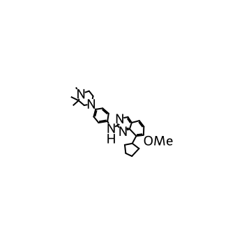 COc1ccc2cnc(Nc3ccc(N4CCN(C)C(C)(C)C4)cc3)nc2c1C1CCCC1